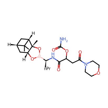 CCC[C@H](NC(=O)C(CC(=O)N1CCOCC1)OC(N)=O)B1O[C@@H]2C[C@@H]3C[C@@H](C3(C)C)[C@]2(C)O1